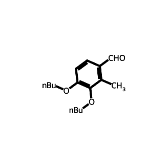 CCCCOc1ccc(C=O)c(C)c1OCCCC